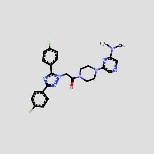 CN(C)c1cncc(N2CCN(C(=O)Cn3nc(-c4ccc(F)cc4)nc3-c3ccc(F)cc3)CC2)n1